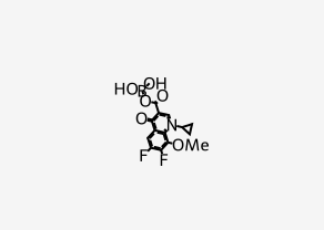 COc1c(F)c(F)cc2c(=O)c(C(=O)OB(O)O)cn(C3CC3)c12